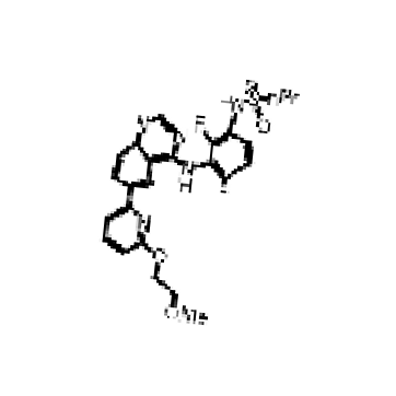 CCCS(=O)(=O)Nc1ccc(F)c(Nc2ncnc3ccc(-c4cccc(OCCOC)n4)cc23)c1F